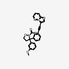 COc1cccc(C2(c3cccc(C#Cc4cnc5cccnn45)c3)CCON2C(N)=O)c1